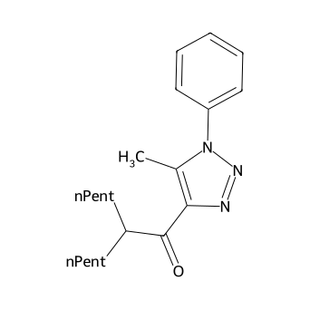 CCCCCC(CCCCC)C(=O)c1nnn(-c2ccccc2)c1C